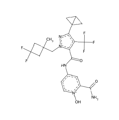 CC1(Cn2nc(C34CC3C4)c(C(F)(F)F)c2C(=O)Nc2cc[n+](O)c(C(N)=O)c2)CC(F)(F)C1